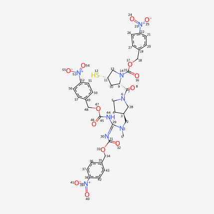 CN(C[C@H]1CCN(C(=O)[C@@H]2C[C@H](S)CN2C(=O)OCc2ccc([N+](=O)[O-])cc2)C1)/C(=N\C(=O)OCc1ccc([N+](=O)[O-])cc1)NC(=O)OCc1ccc([N+](=O)[O-])cc1